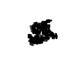 N#Cc1cc(-n2nc(Br)c3cnc(N[C@@H]4CC[C@@H](C(=O)NC5CCC(C#N)C5)C4)nc32)cc2cccnc12